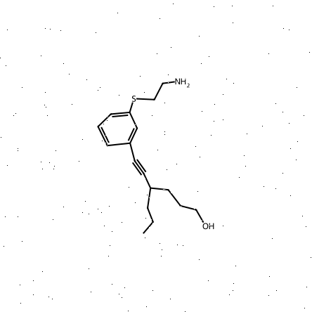 CCCC(C#Cc1cccc(SCCN)c1)CCCO